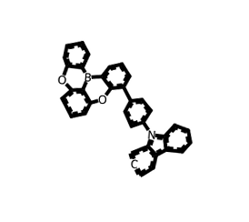 c1ccc2c(c1)Oc1cccc3c1B2c1cccc(-c2ccc(-n4c5ccccc5c5ccccc54)cc2)c1O3